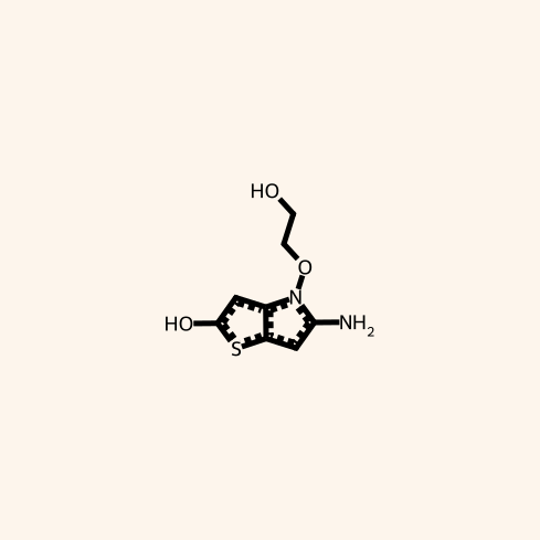 Nc1cc2sc(O)cc2n1OCCO